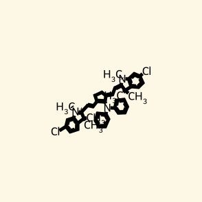 CN1/C(=C/C=C2\CCC(/C=C/C3=[N+](C)c4cc(Cl)ccc4C3(C)C)=C2N(c2ccccc2)c2ccccc2)C(C)(C)c2ccc(Cl)cc21